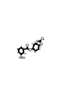 CC[C@@H](C)c1cccc(C(=O)Oc2ccc3oc(=O)sc3c2)c1